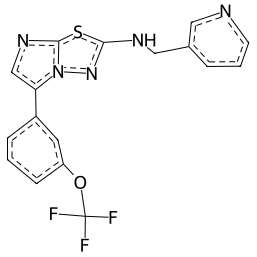 FC(F)(F)Oc1cccc(-c2cnc3sc(NCc4cccnc4)nn23)c1